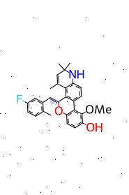 COc1c(O)ccc2c1-c1ccc3c(c1/C(=C/c1cc(F)ccc1C)O2)C(C)=CC(C)(C)N3